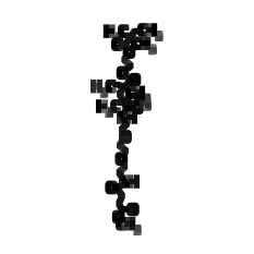 CCC(C)(C)C(=O)OCCOC(=O)C(C)(CC)CC(C)(C)C(=O)NCCOCCOCCNC(=O)CCC(=O)OC